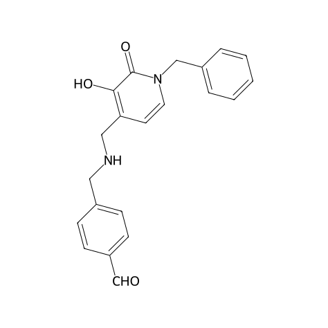 O=Cc1ccc(CNCc2ccn(Cc3ccccc3)c(=O)c2O)cc1